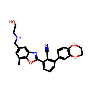 Cc1cc(CNCCO)cc2nc(-c3cccc(-c4ccc5c(c4)OCCO5)c3C#N)oc12